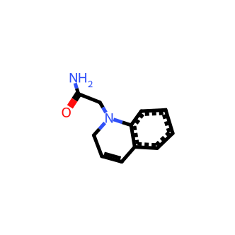 NC(=O)CN1CC=Cc2ccccc21